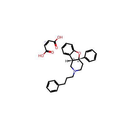 O=C(O)/C=C\C(=O)O.c1ccc(CCCN2CC[C@@]3(c4ccccc4)Oc4ccccc4[C@H]3C2)cc1